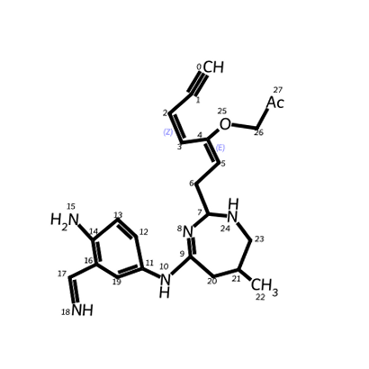 C#C/C=C\C(=C/CC1N=C(Nc2ccc(N)c(C=N)c2)CC(C)CN1)OCC(C)=O